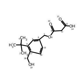 CC(C)(C)c1cc(COC(=O)CC(=O)O)ccc1CO